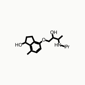 Cc1ccc(OCC(O)C(C)NC(C)C)c2c1C(O)CC2